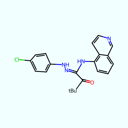 CC(C)(C)C(=O)/C(=N/Nc1ccc(Cl)cc1)Nc1cccc2cnccc12